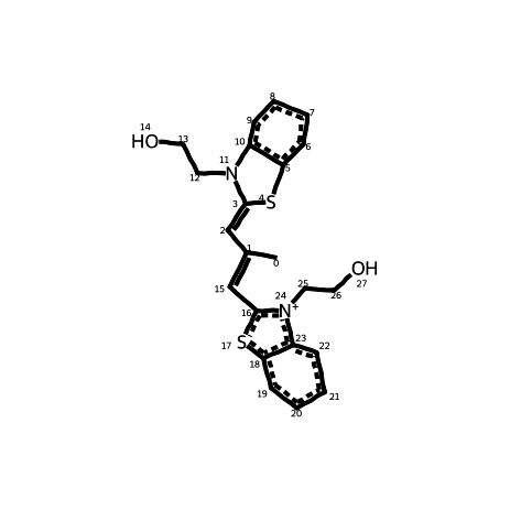 CC(/C=C1\Sc2ccccc2N1CCO)=C\c1sc2ccccc2[n+]1CCO